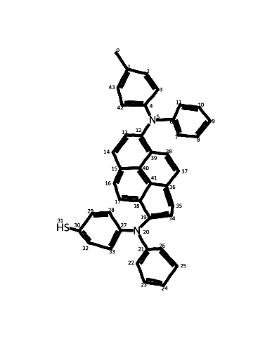 Cc1ccc(N(c2ccccc2)c2ccc3ccc4c(N(c5ccccc5)c5ccc(S)cc5)ccc5ccc2c3c54)cc1